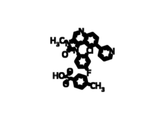 Cc1ccc(S(=O)(=O)O)cc1.Cn1c(=O)n(-c2ccc(F)cc2Cl)c2c3cc(-c4cccnc4)ccc3ncc21